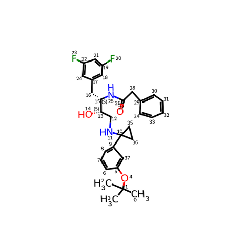 CC(C)(C)Oc1cccc(C2(NC[C@H](O)[C@H](Cc3cc(F)cc(F)c3)NC(=O)Cc3ccccc3)CC2)c1